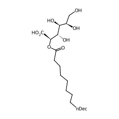 CCCCCCCCCCCCCCCCCC(=O)O[C@@H](C(=O)O)[C@@H](O)[C@@H](O)[C@H](O)CO